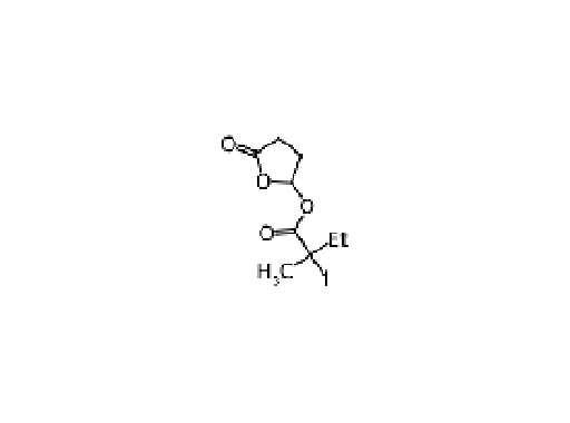 CCC(C)(I)C(=O)OC1CCC(=O)O1